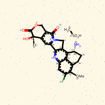 CC[C@@]1(O)C(=O)OCc2c1cc1n(c2=O)Cc2c-1nc1cc(F)c(OC)c3c1c2[C@H](N)CC3.CS(=O)(=O)O